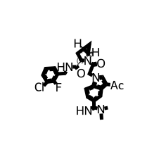 CC(=O)c1cn(CC(=O)N2[C@@H]3C[C@@H]3C[C@H]2C(=O)NCc2cccc(Cl)c2F)c2ccc(C(=N)N(C)C)cc12